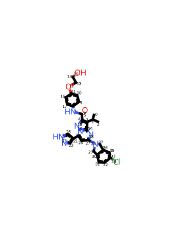 CC(C)c1c(C(=O)Nc2ccc(OCCO)cc2)nn2c(-c3cn[nH]c3)cc(N3Cc4ccc(Cl)cc4C3)nc12